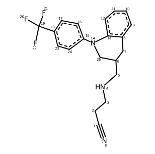 N#CCCNCC1Cc2ccccc2N(c2ccc(C(F)(F)F)cc2)C1